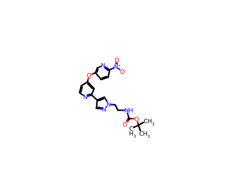 CC(C)(C)OC(=O)NCCn1cc(-c2cc(Oc3ccc([N+](=O)[O-])nc3)ccn2)cn1